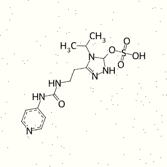 CC(C)N1C(CCNC(=O)Nc2ccncc2)=NNC1OS(=O)(=O)O